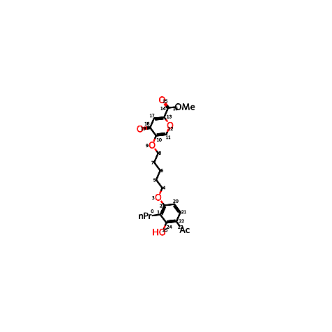 CCCc1c(OCCCCCOc2coc(C(=O)OC)cc2=O)ccc(C(C)=O)c1O